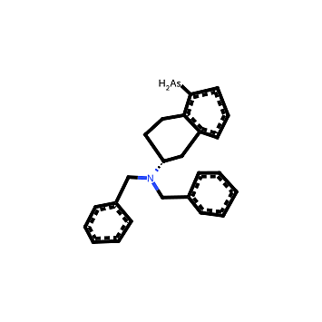 [AsH2]c1cccc2c1CC[C@@H](N(Cc1ccccc1)Cc1ccccc1)C2